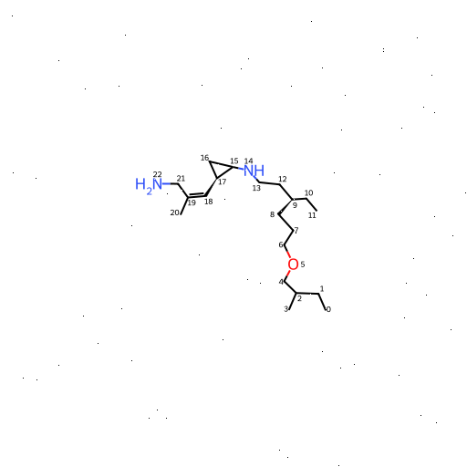 CCC(C)COCCC[C@H](CC)CCNC1C[C@@H]1/C=C(/C)CN